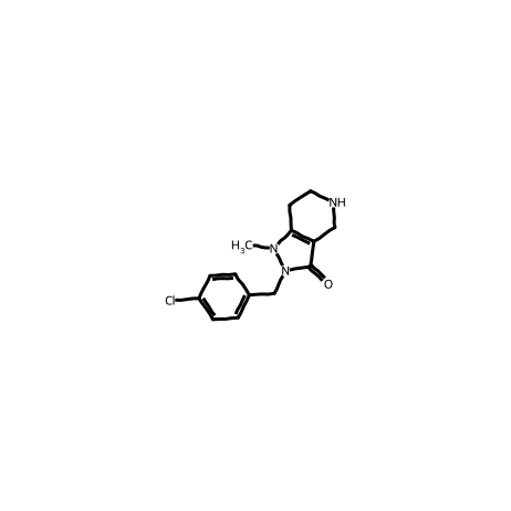 Cn1c2c(c(=O)n1Cc1ccc(Cl)cc1)CNCC2